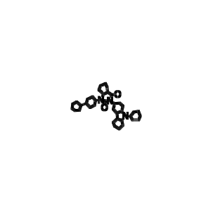 O=c1c2ccccc2n(-c2ccc(-c3ccccc3)cc2)c(=O)n1-c1ccc2c(c1)c1ccccc1n2-c1ccccc1